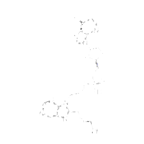 O=c1[nH]cnc2c1ncn2C1CC/C(=C/OP(=O)(S)OCCn2c(COCP)nc3cncnc32)O1